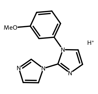 COc1cccc(-n2ccnc2-n2ccnc2)c1.[H+]